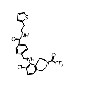 O=C(NCCc1cccs1)c1ccc(CNc2c(Cl)ccc3c2CCN(C(=O)C(F)(F)F)CC3)cc1